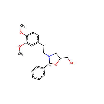 COc1ccc(CCN2CC(CO)O[C@H]2c2ccccc2)cc1OC